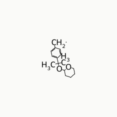 [CH2]c1ccc(C(C)(C)OC2CCCCO2)cc1